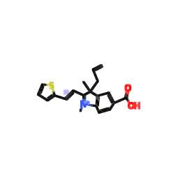 C=CCC1(C)C(/C=C/c2cccs2)=[N+](C)c2ccc(C(=O)O)cc21